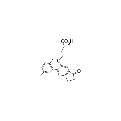 Cc1ccc(C)c(-c2cc3c(cc2OCCCC(=O)O)C(=O)CC3)c1